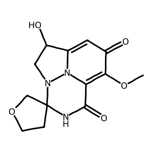 COc1c2n3c(cc1=O)C(O)CN3C1(CCOC1)NC2=O